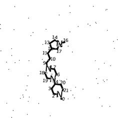 CN1CCC(N2CCN(CCCC3CCN(C)C3)CC2)CC1